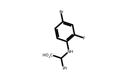 CC(C)C(Nc1ccc(Br)cc1F)C(=O)O